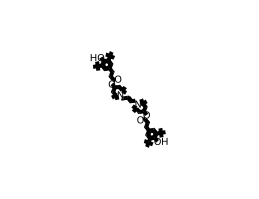 CC(C)(C)c1cc(CCC(=O)OC2CC(C)(C)N(CC=CCN3C(C)(C)CC(OC(=O)CCc4cc(C(C)(C)C)c(O)c(C(C)(C)C)c4)CC3(C)C)C(C)(C)C2)cc(C(C)(C)C)c1O